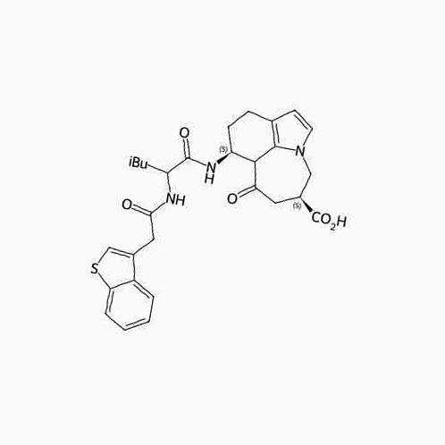 CCC(C)C(NC(=O)Cc1csc2ccccc12)C(=O)N[C@H]1CCc2ccn3c2C1C(=O)C[C@H](C(=O)O)C3